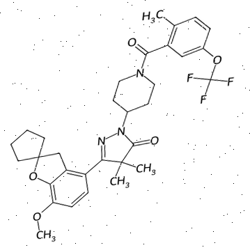 COc1ccc(C2=NN(C3CCN(C(=O)c4cc(OC(F)(F)F)ccc4C)CC3)C(=O)C2(C)C)c2c1OC1(CCCC1)C2